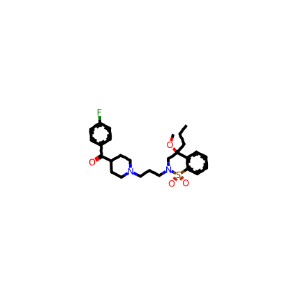 CCCC1(OC)CN(CCCN2CCC(C(=O)c3ccc(F)cc3)CC2)S(=O)(=O)c2ccccc21